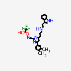 Cc1ccc(-c2cc(CCCNCCc3c[nH]c4ccccc34)nc(C#N)n2)cc1C.O=C(O)C(F)(F)F